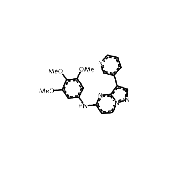 COc1cc(Nc2ccn3ncc(-c4cccnc4)c3n2)cc(OC)c1OC